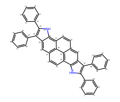 c1ccc(-c2[nH]c3c(cc4ccc5c6[nH]c(-c7ccccc7)c(-c7ccccc7)c6cc6ccc3c4c65)c2-c2ccccc2)cc1